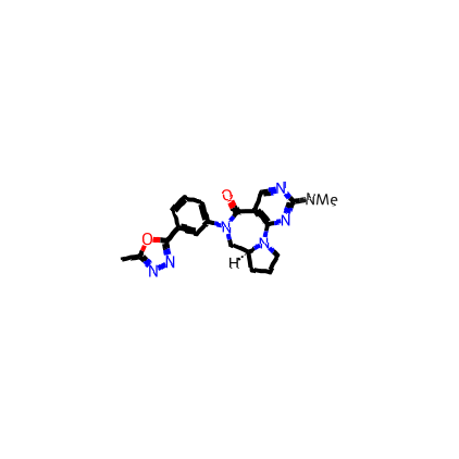 CNc1ncc2c(n1)N1CCC[C@H]1CN(c1cccc(-c3nnc(C)o3)c1)C2=O